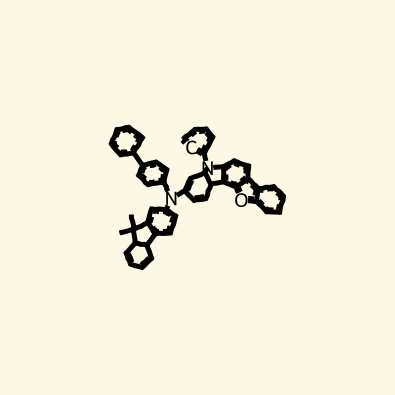 CC1(C)c2cc(N(C3=CC4C(C=C3)c3c(ccc5c3oc3ccccc35)N4c3ccccc3)c3ccc(-c4ccccc4)cc3)ccc2C2C=CC=CC21